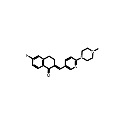 CN1CCN(c2ccc(/C=C3\CCc4cc(F)ccc4C3=O)cn2)CC1